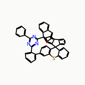 c1ccc(-c2nc(-c3ccccc3-c3ccc4c(c3)Sc3ccccc3C43c4ccccc4-c4ccccc43)nc(-c3cccc4ccccc34)n2)cc1